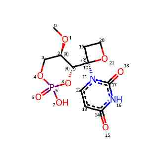 CO[C@@H]1COP(=O)(O)O[C@H]1[C@@]1(n2ccc(=O)[nH]c2=O)CCO1